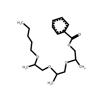 CCCCCOC(C)COC(C)COC(C)COC(=O)c1ccccc1